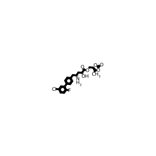 Cc1oc(=O)oc1COC(=O)[C@H](O)C[C@H](N)Cc1ccc(-c2cc(Cl)ccc2F)cc1